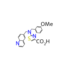 COc1cccc(CN(Cc2ccc3ncccc3c2)c2nc(C(=O)O)cs2)c1